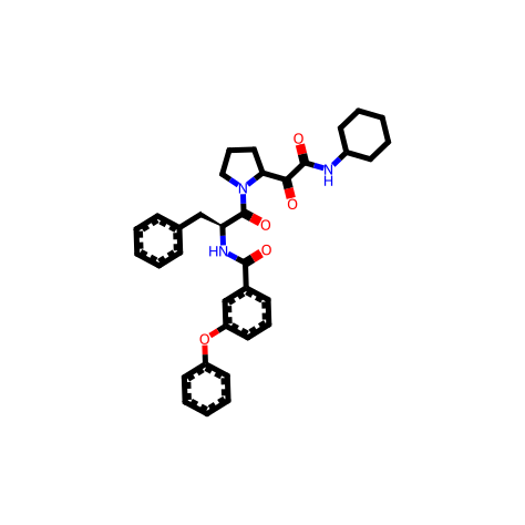 O=C(NC1CCCCC1)C(=O)C1CCCN1C(=O)[C@H](Cc1ccccc1)NC(=O)c1cccc(Oc2ccccc2)c1